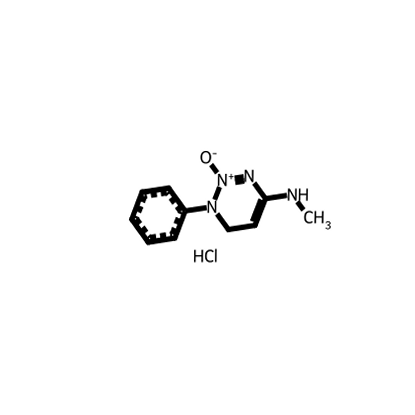 CNC1=CCN(c2ccccc2)[N+]([O-])=N1.Cl